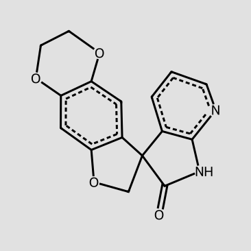 O=C1Nc2ncccc2C12COc1cc3c(cc12)OCCO3